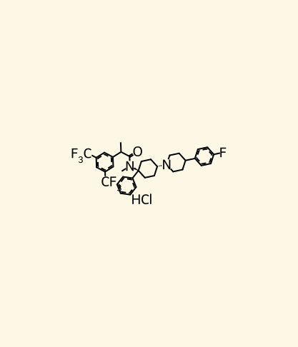 CC(C(=O)N(C)[C@]1(c2ccccc2)CC[C@@H](N2CCC(c3ccc(F)cc3)CC2)CC1)c1cc(C(F)(F)F)cc(C(F)(F)F)c1.Cl